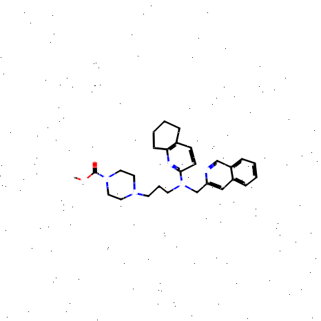 CC(C)(C)OC(=O)N1CCN(CCCN(Cc2cc3ccccc3cn2)c2ccc3c(n2)CCCC3)CC1